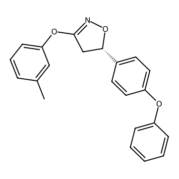 Cc1cccc(OC2=NO[C@H](c3ccc(Oc4ccccc4)cc3)C2)c1